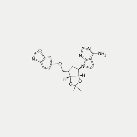 CC1(C)O[C@@H]2[C@@H](COc3ccc4ncoc4c3)C[C@@H](n3ccc4c(N)ncnc43)[C@@H]2O1